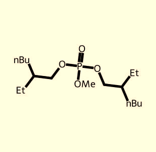 CCCCC(CC)COP(=O)(OC)OCC(CC)CCCC